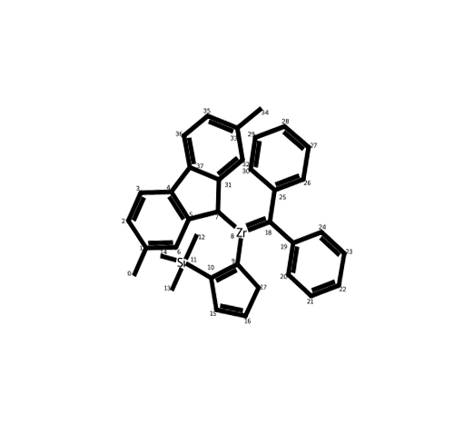 Cc1ccc2c(c1)[CH]([Zr]([C]1=C([Si](C)(C)C)C=CC1)=[C](c1ccccc1)c1ccccc1)c1cc(C)ccc1-2